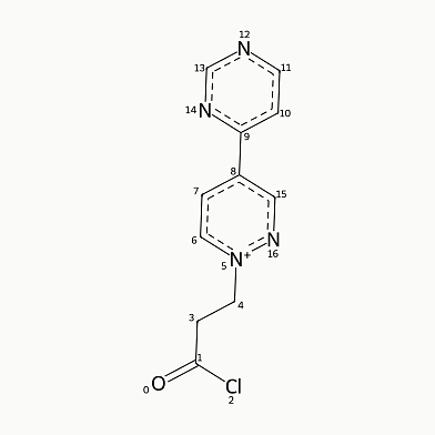 O=C(Cl)CC[n+]1ccc(-c2ccncn2)cn1